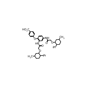 CC1CCC(C(C)C)C(OCC(=O)Nc2ccc(Oc3ccc(C(=O)O)cc3)c(NC(=O)COC3CC(C)CCC3C(C)C)c2)C1